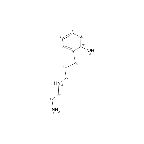 NCCNCCCc1ccccc1O